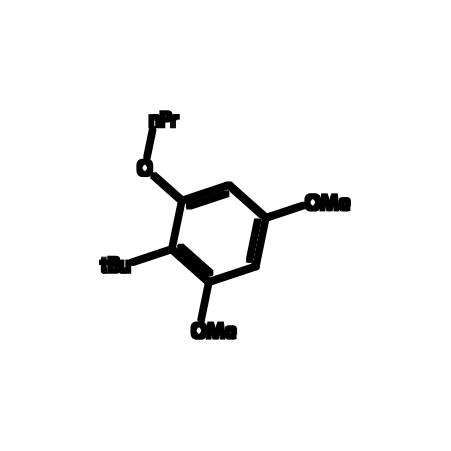 CCCOc1cc(OC)cc(OC)c1C(C)(C)C